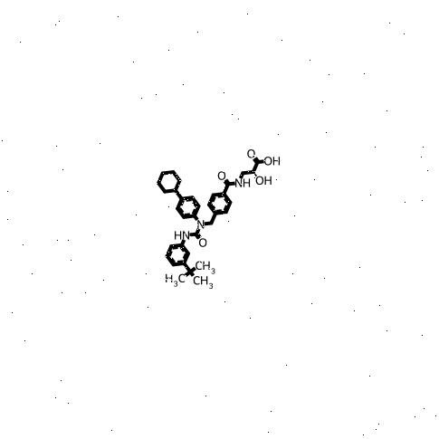 CC(C)(C)c1cccc(NC(=O)N(Cc2ccc(C(=O)NC[C@@H](O)C(=O)O)cc2)c2ccc(C3CCCCC3)cc2)c1